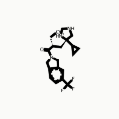 CC[C@H](C[C@]1(C2CC2)CNCN1)C(=O)N1Cc2ccc(C(F)(F)F)cc2C1